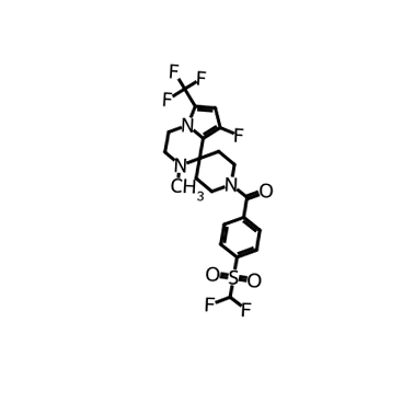 CN1CCn2c(C(F)(F)F)cc(F)c2C12CCN(C(=O)c1ccc(S(=O)(=O)C(F)F)cc1)CC2